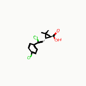 CC1(C)[C@@H](C=C(Cl)c2ccc(Cl)cc2)[C@@H]1C(=O)O